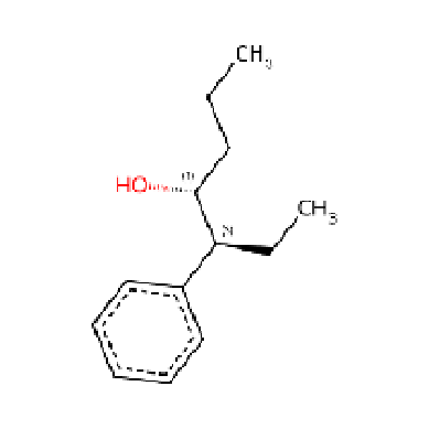 CCC[C@@H](O)[C@@H](CC)c1ccccc1